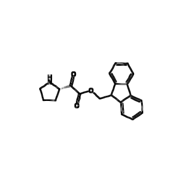 O=C(OCC1c2ccccc2-c2ccccc21)C(=O)[C@@H]1CCCN1